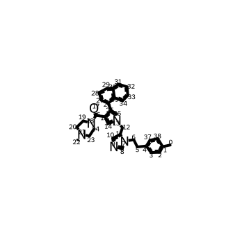 Cc1ccc(CCn2cncc2Cn2cc(C(=O)N3CCN(C)CC3)c(-c3cccc4ccccc34)c2)cc1